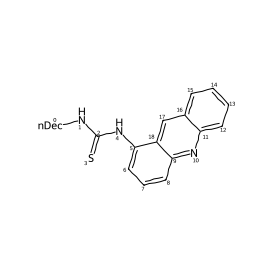 CCCCCCCCCCNC(=S)Nc1cccc2nc3ccccc3cc12